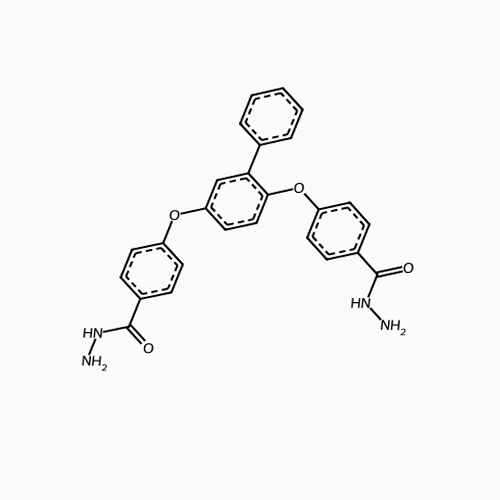 NNC(=O)c1ccc(Oc2ccc(Oc3ccc(C(=O)NN)cc3)c(-c3ccccc3)c2)cc1